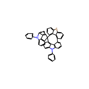 c1ccc(-n2c3cccc4c3c3c(cccc32)C2(c3cccc5sc6cccc-4c6c35)c3cccc4c3c3c2cccc3n4-c2ccccc2)cc1